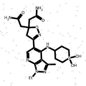 CCn1nc(C)c2c(NC3CCS(O)(O)CC3)c(C3=NOC(CC(N)=O)(CC(N)=O)C3)cnc21